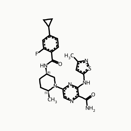 Cc1cc(Nc2nc(N3C[C@H](NC(=O)c4ccc(C5CC5)cc4F)CC[C@@H]3C)cnc2C(N)=O)sn1